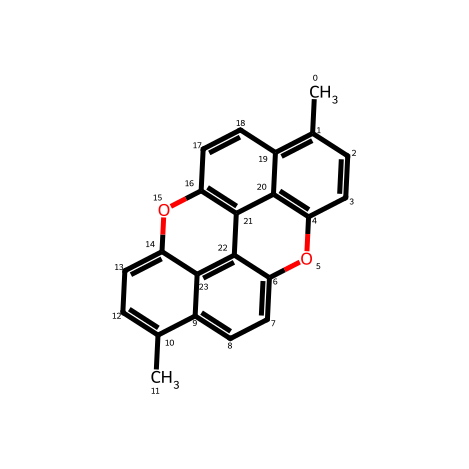 Cc1ccc2oc3ccc4c(C)ccc5oc6ccc1c2c6-c3c54